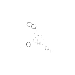 O=C(NCC1CC(Br)=NO1)[C@@H]1C[C@@H](c2ccc(Cl)cc2)CN1C(=O)OCc1cnc2ccccc2c1